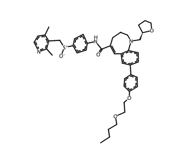 CCCCOCCOc1ccc(-c2ccc3c(c2)/C=C(/C(=O)Nc2ccc([S+]([O-])Cc4c(C)ccnc4C)cc2)CCCN3C[C@H]2CCCO2)cc1